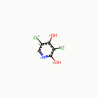 Oc1ncc(Cl)c(O)c1Cl